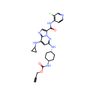 C#CCOC(=O)N[C@H]1CC[C@H](Nc2cc(NC3CC3)c3ncc(C(=O)Nc4ccncc4F)n3n2)CC1